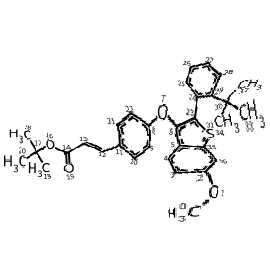 COc1ccc2c(Oc3ccc(C=CC(=O)OC(C)(C)C)cc3)c(-c3ccccc3C(C)(C)C)sc2c1